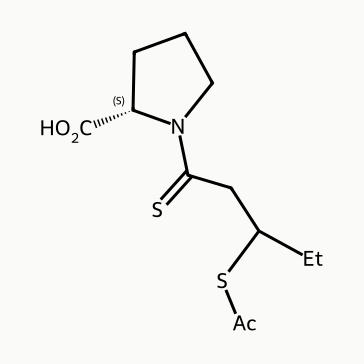 CCC(CC(=S)N1CCC[C@H]1C(=O)O)SC(C)=O